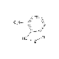 O=[N+]([O-])c1ccccc1O.[Cl][4Hg]